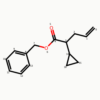 C=CCC(C(=O)OCc1ccccc1)C1CC1